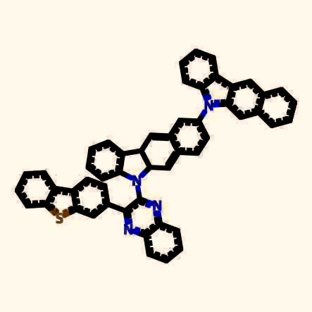 C1=c2ccc(-n3c4ccccc4c4cc5ccccc5cc43)cc2=CC2c3ccccc3N(c3nc4ccccc4nc3-c3ccc4c(c3)sc3ccccc34)C12